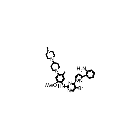 COc1cc(N2CCC(N3CCN(C)CC3)CC2)c(C)cc1Nc1ncc(Br)c(-n2ccc(-c3ccccc3N)n2)n1